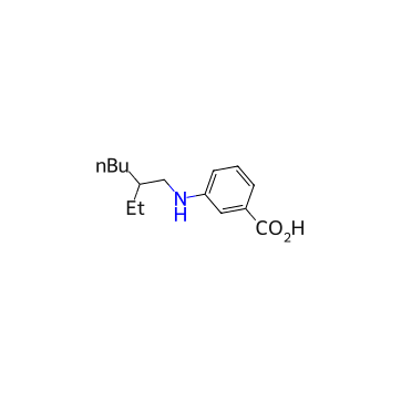 CCCCC(CC)CNc1cccc(C(=O)O)c1